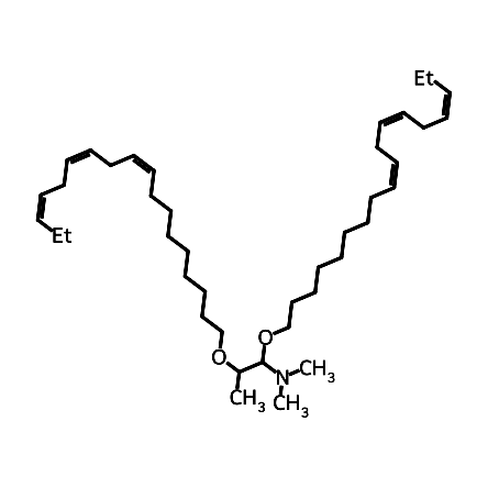 CC/C=C\C/C=C\C/C=C\CCCCCCCCOC(C)C(OCCCCCCCC/C=C\C/C=C\C/C=C\CC)N(C)C